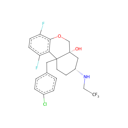 O[C@@]12COc3c(F)ccc(F)c3C1(Cc1ccc(Cl)cc1)CC[C@@H](NCC(F)(F)F)C2